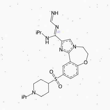 CC(C)N/C(=N\C=N)c1cn2c(n1)-c1cc(S(=O)(=O)C3CCN(C(C)C)CC3)ccc1OCC2